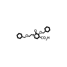 O=C(O)c1ccn(CCOCc2ccccc2)c(=O)c1OCc1ccccc1